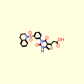 O=C(O)Cc1scc2[nH]c(=O)n(-c3cccc(S(=O)(=O)N4CCCc5ccccc54)c3)c(=O)c12